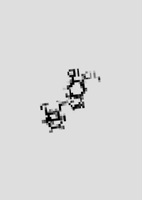 Cc1cc2ncn(CC3C(=O)C4CCN3CC4)c2cc1C